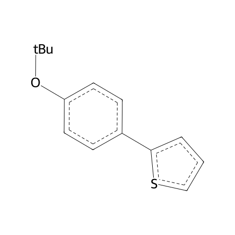 CC(C)(C)Oc1ccc(-c2cccs2)cc1